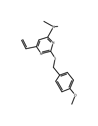 C=Cc1cc(N(C)C)nc(SCc2ccc(OC)cc2)n1